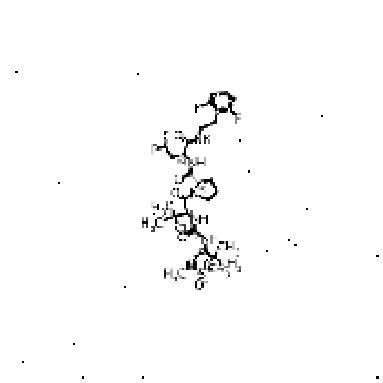 CN(C[C@@H](NC(=O)N[C@H](C(=O)N1CCC[C@H]1C(=O)N[C@@H](CC(F)F)C(=O)NCCc1c(F)cccc1F)C(C)(C)C)C(C)(C)C)[S+](C)[O-]